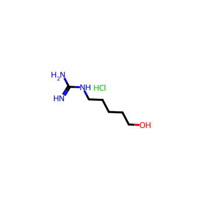 Cl.N=C(N)NCCCCCO